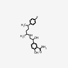 CC(CCN(C)c1ccc(F)cc1)NCC(O)c1ccc(O)c(C(N)=O)c1